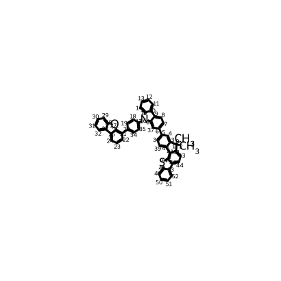 CC1(C)c2cc(-c3ccc4c5ccccc5n(-c5ccc(-c6cccc7c6oc6ccccc67)cc5)c4c3)ccc2-c2c1ccc1c2sc2ccccc21